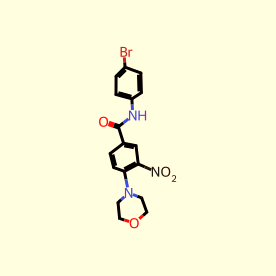 O=C(Nc1ccc(Br)cc1)c1ccc(N2CCOCC2)c([N+](=O)[O-])c1